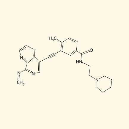 C=Nc1ncc(C#Cc2cc(C(=O)NCCN3CCCCC3)ccc2C)c2cccnc12